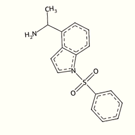 CC(N)c1cccc2c1ccn2S(=O)(=O)c1ccccc1